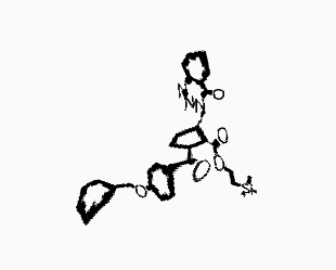 C[Si](C)(C)CCOC(=O)[C@H]1[C@H](Cn2nnc3ccccc3c2=O)CC[C@@H]1C(=O)c1ccc(OCc2ccccc2)cc1